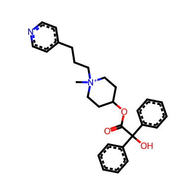 C[N+]1(CCCc2ccncc2)CCC(OC(=O)C(O)(c2ccccc2)c2ccccc2)CC1